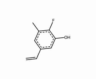 C=Cc1cc(C)c(F)c(O)c1